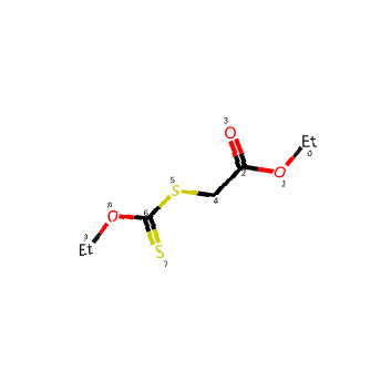 CCOC(=O)CSC(=S)OCC